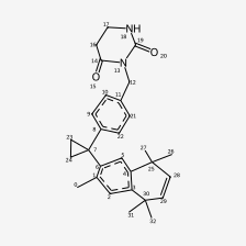 Cc1cc2c(cc1C1(c3ccc(CN4C(=O)CCNC4=O)cc3)CC1)C(C)(C)C=CC2(C)C